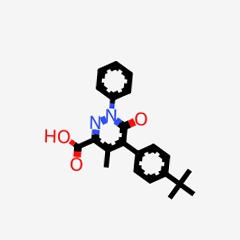 Cc1c(C(=O)O)nn(-c2ccccc2)c(=O)c1-c1ccc(C(C)(C)C)cc1